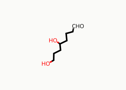 O=CCCCC(O)CCCO